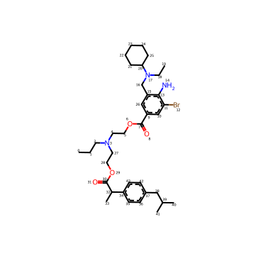 CCCN(CCOC(=O)c1cc(Br)c(N)c(CN(CC)C2CCCCC2)c1)CCOC(=O)C(C)c1ccc(CC(C)C)cc1